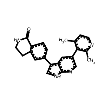 Cc1ccnc(C)c1-c1cnc2[nH]cc(-c3ccc4c(c3)CCNC4=O)c2c1